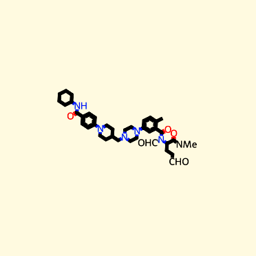 CNC(=O)C(CCC=O)N(C=O)C(=O)c1cc(N2CCN(CC3CCN(c4ccc(C(=O)NC5CCCCC5)cc4)CC3)CC2)ccc1C